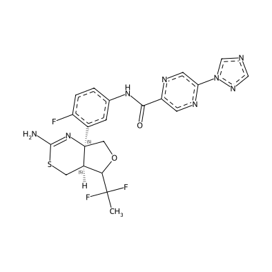 CC(F)(F)C1OC[C@]2(c3cc(NC(=O)c4cnc(-n5cncn5)cn4)ccc3F)N=C(N)SC[C@H]12